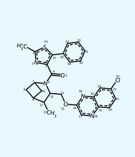 Cc1nc(C(=O)N2C3CC(C3)C(C)C2COc2cnc3ccc(Cl)cc3n2)c(-c2ccccc2)s1